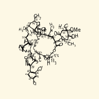 CC[C@H]1OC(=O)[C@H](C)[C@@H](O[C@H]2C[C@@](C)(OC)[C@@H](O)[C@H](C)O2)[C@H](C)[C@@H](O[C@@H]2O[C@H](C)C[C@H](N(C)CCc3cn(C[C@H]4CC(c5ccc(Cl)cc5Cl)=NO4)nn3)[C@H]2O)[C@](C)(O)C[C@@H](C)CN(C)[C@H](C)[C@@H](O)[C@]1(C)O